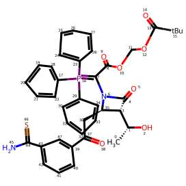 C[C@@H](O)[C@H]1C(=O)N(C(C(=O)OCOC(=O)C(C)(C)C)=P(c2ccccc2)(c2ccccc2)c2ccccc2)[C@@H]1CC(=O)c1cccc(C(N)=S)c1